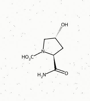 NC(=O)[C@@H]1C[C@@H](O)CN1C(=O)O